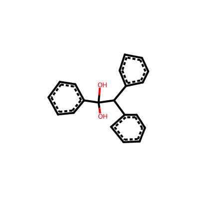 OC(O)(c1ccccc1)C(c1ccccc1)c1ccccc1